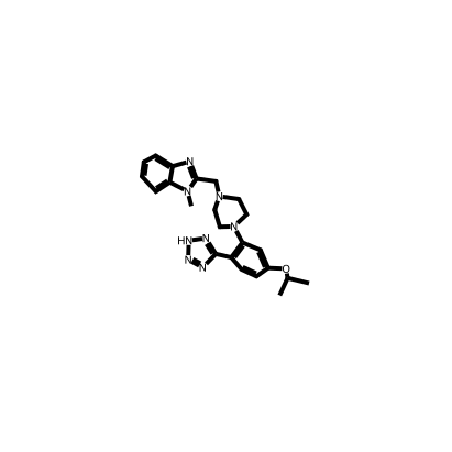 CC(C)Oc1ccc(-c2nn[nH]n2)c(N2CCN(Cc3nc4ccccc4n3C)CC2)c1